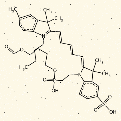 CCCC[N+]1=C(C=CC=CC=C2N(CCP(=O)(O)OCCCCOC=O)c3ccc(S(=O)(=O)O)cc3C2(C)C)C(C)(C)c2cc(C)ccc21